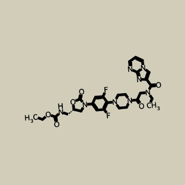 CCOC(=O)NC[C@H]1CN(c2cc(F)c(N3CCN(C(=O)CN(CC)C(=O)c4cn5cccnc5n4)CC3)c(F)c2)C(=O)O1